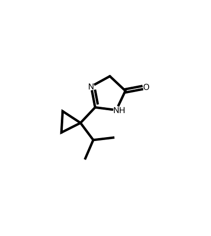 CC(C)C1(C2=NCC(=O)N2)CC1